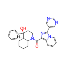 O=C(c1nc(-c2cncnc2)n2ccccc12)N1CC[C@@](O)(c2ccccc2)[C@@H]2CCCCC21